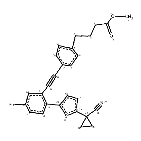 COC(=O)CCCc1ccc(C#Cc2cc(F)ccc2-c2ccc(C3(C#N)CC3)s2)cc1